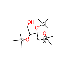 C[Si](C)(C)OC(CO)C([SiH3])(O[Si](C)(C)C)O[Si](C)(C)C